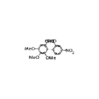 COc1cc(C=O)c(-c2ccc([N+](=O)[O-])cc2C=O)c(OC)c1OC